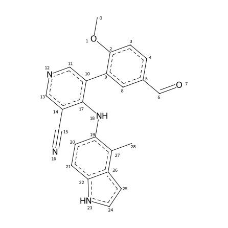 COc1ccc(C=O)cc1-c1cncc(C#N)c1Nc1ccc2[nH]ccc2c1C